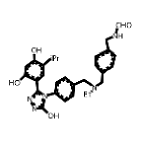 CCN(Cc1ccc(CNC=O)cc1)Cc1ccc(-n2c(O)nnc2-c2cc(C(C)C)c(O)cc2O)cc1